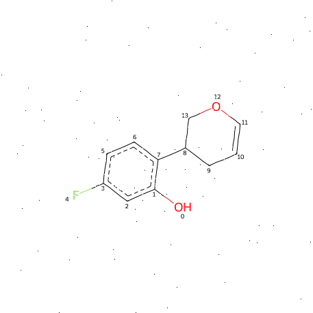 Oc1cc(F)ccc1C1CC=COC1